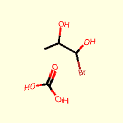 CC(O)C(O)Br.O=C(O)O